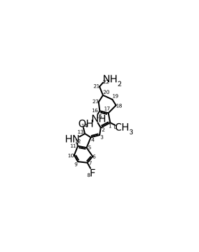 Cc1c(/C=C2/c3cc(F)ccc3NC2O)[nH]c2c1CCC(CN)C2